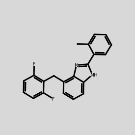 Cc1ccccc1-c1nc2c(Cc3c(F)cccc3F)cccc2[nH]1